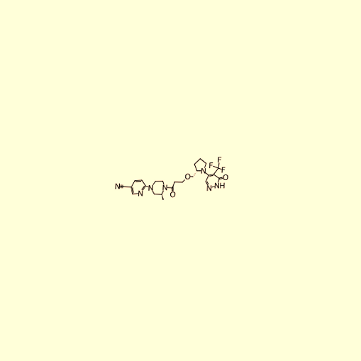 C[C@H]1CN(c2ccc(C#N)cn2)CCN1C(=O)CCOC[C@@H]1CCCN1c1cn[nH]c(=O)c1C(F)(F)F